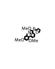 COc1cc(C)c(-c2cccc3c(N(C)C4CCCO4)c(OC)nn23)c(OC)c1